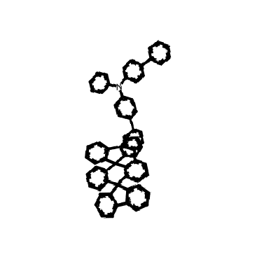 c1ccc(-c2ccc(N(c3ccccc3)c3ccc(-c4ccc(-c5cccc6c5C5(c7ccccc7-c7ccccc75)c5ccccc5C65c6ccccc6-c6ccccc65)cc4)cc3)cc2)cc1